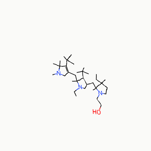 CCN1CC(CC2(C)N(CCO)CCC2(C)CC)C(C(C)(C)C)C1(C)CC1=C(C(C)(C)C)C(C)(C)N(C)C1